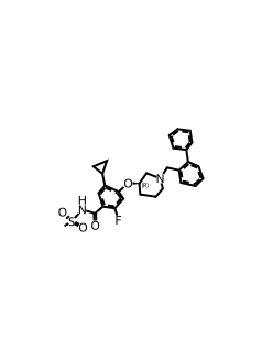 CS(=O)(=O)NC(=O)c1cc(C2CC2)c(O[C@@H]2CCCN(Cc3ccccc3-c3ccccc3)C2)cc1F